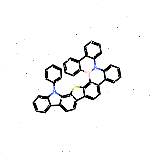 c1ccc(-n2c3ccccc3c3ccc4c5ccc6c(c5sc4c32)B2c3ccccc3-c3ccccc3N2c2ccccc2-6)cc1